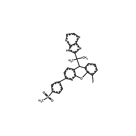 CC(C)(c1nc2nccnc2[nH]1)C1c2ccc(-c3ccc(S(C)(=O)=O)cc3)nc2Oc2c(F)cccc21